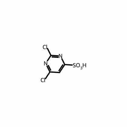 O=S(=O)(O)c1cc(Cl)nc(Cl)n1